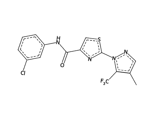 Cc1cnn(-c2nc(C(=O)Nc3cccc(Cl)c3)cs2)c1C(F)(F)F